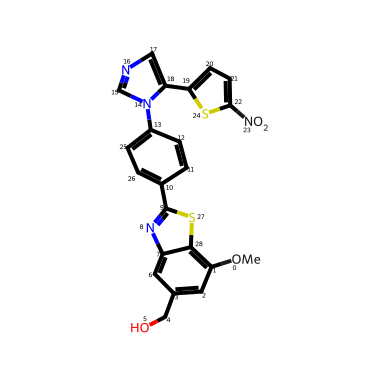 COc1cc(CO)cc2nc(-c3ccc(-n4cncc4-c4ccc([N+](=O)[O-])s4)cc3)sc12